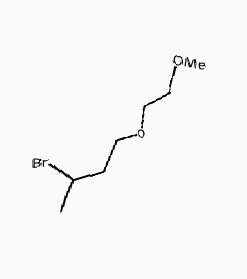 COCCOCCC(C)Br